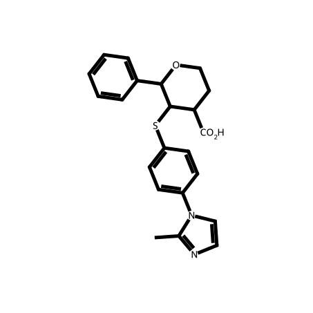 Cc1nccn1-c1ccc(SC2C(C(=O)O)CCOC2c2ccccc2)cc1